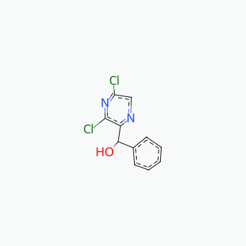 OC(c1ccccc1)c1ncc(Cl)nc1Cl